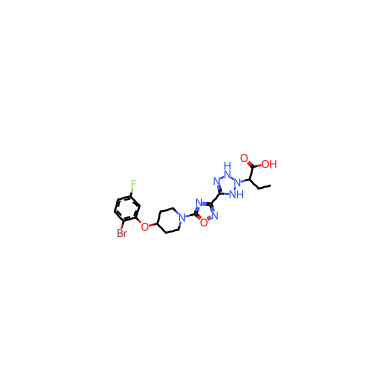 CCC(C(=O)O)N1NN=C(c2noc(N3CCC(Oc4cc(F)ccc4Br)CC3)n2)N1